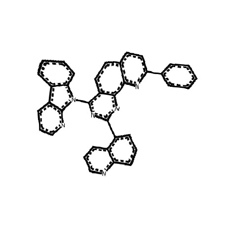 c1ccc(-c2ccc3ccc4c(-n5c6ccccc6c6cccnc65)nc(-c5cccc6ncccc56)nc4c3n2)cc1